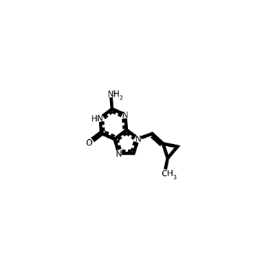 CC1CC1=Cn1cnc2c(=O)[nH]c(N)nc21